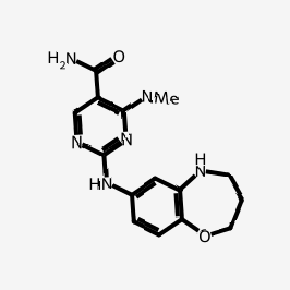 CNc1nc(Nc2ccc3c(c2)NCCCO3)ncc1C(N)=O